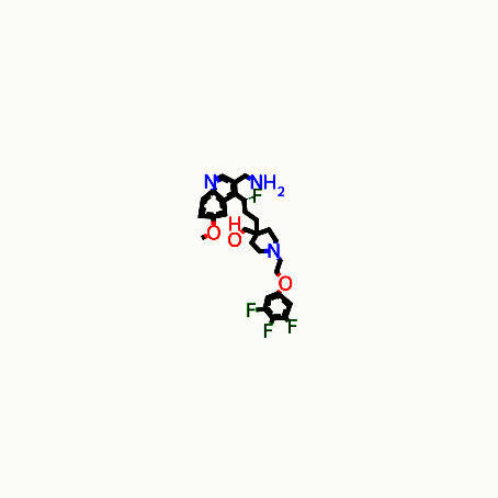 COc1ccc2ncc(CN)c([C@H](F)CCC3(CO)CCN(CCOc4cc(F)c(F)c(F)c4)CC3)c2c1